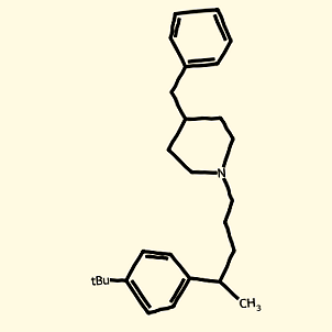 CC(CCCN1CCC(Cc2ccccc2)CC1)c1ccc(C(C)(C)C)cc1